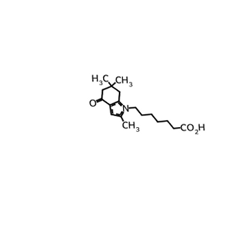 Cc1cc2c(n1CCCCCCC(=O)O)CC(C)(C)CC2=O